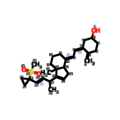 C=C1CCC(O)C/C1=C/C=C1\CCCC2(C)C(C(C)/C=C/C3(S(C)(=O)=O)CC3)=CCC12